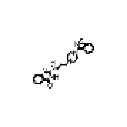 O=c1[nH]c(NCCCN2CCN(c3nsc4ccccc34)CC2)nc2ccccc12